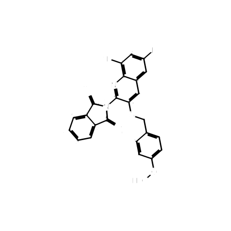 COc1ccc(COc2cc3cc(F)cc(F)c3nc2N2C(=O)c3ccccc3C2=O)cc1